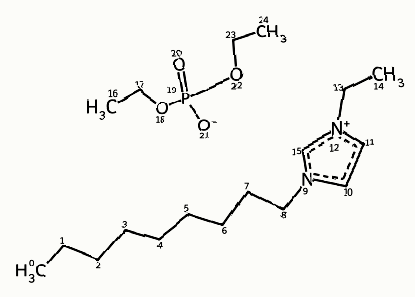 CCCCCCCCCn1cc[n+](CC)c1.CCOP(=O)([O-])OCC